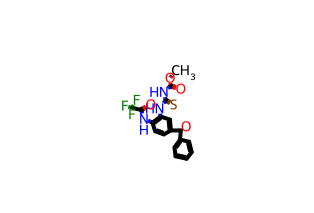 COC(=O)NC(=S)Nc1cc(C(=O)c2ccccc2)ccc1NC(=O)C(F)(F)F